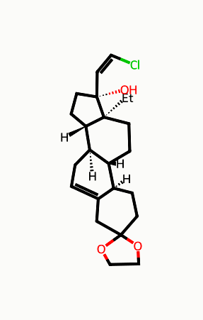 CC[C@]12CC[C@H]3[C@@H](CC=C4CC5(CC[C@@H]43)OCCO5)[C@@H]1CC[C@@]2(O)/C=C\Cl